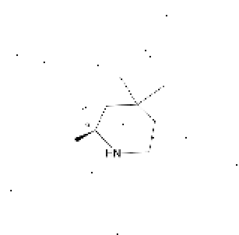 C[C@H]1CC(C)(C)CCN1